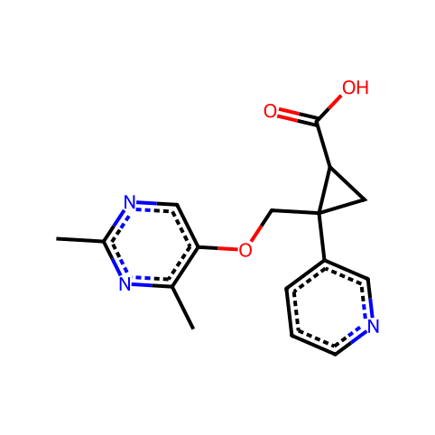 Cc1ncc(OCC2(c3cccnc3)CC2C(=O)O)c(C)n1